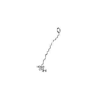 COC(O)(CCCCCCCCCCCCCCCCCCCCc1ccccc1)C(=O)O